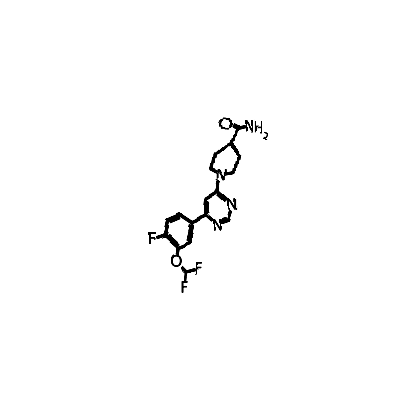 NC(=O)C1CCN(c2cc(-c3ccc(F)c(OC(F)F)c3)ncn2)CC1